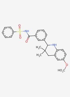 CC1(C)Cc2cc(OC(=O)O)ccc2NC1c1cccc(C(=O)NS(=O)(=O)c2ccccc2)c1